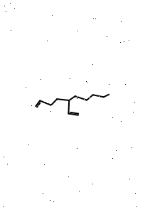 C=CCCC(C=C)CCCCC